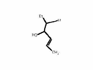 [CH2]/C=C/C(O)C(CC)CC